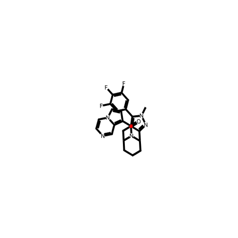 Cn1nc2c(c1-c1cc(F)c(F)c(F)c1)CC1CCCC2N1C(=O)c1ccn2ccncc12